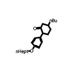 CCCCCCCOc1ccc(C2CCC(CCCC)CC2=O)cc1